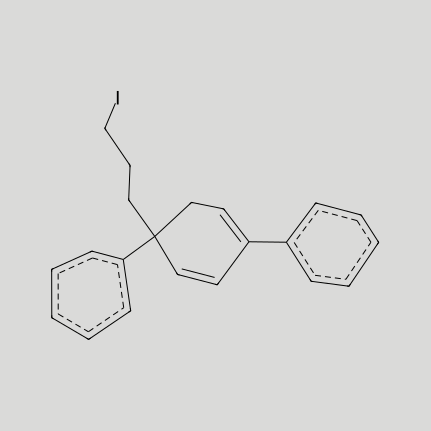 ICCCC1(c2ccccc2)C=CC(c2ccccc2)=CC1